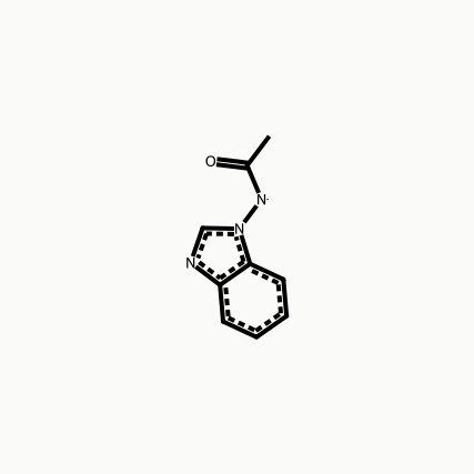 CC(=O)[N]n1cnc2ccccc21